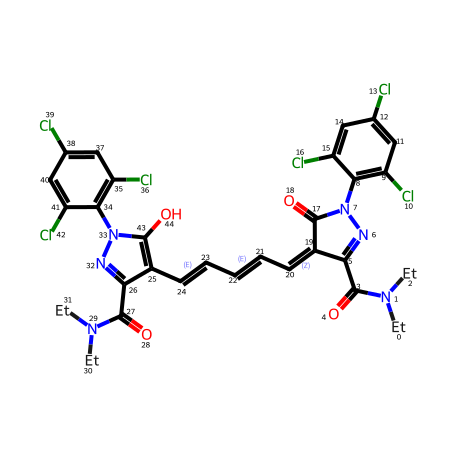 CCN(CC)C(=O)C1=NN(c2c(Cl)cc(Cl)cc2Cl)C(=O)\C1=C/C=C/C=C/c1c(C(=O)N(CC)CC)nn(-c2c(Cl)cc(Cl)cc2Cl)c1O